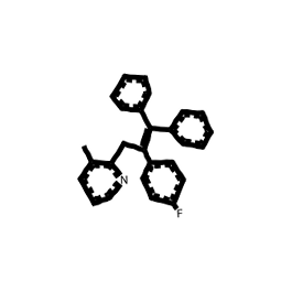 Cc1cccnc1CC(=C(c1ccccc1)c1ccccc1)c1ccc(F)cc1